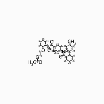 CC(=O)OCCOc1ccccc1N(C)C(=O)c1ccc(NC(=O)c2ccccc2-c2ccc(C)cc2)cc1